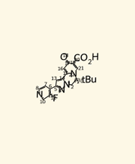 CC(C)(C)[C@@H]1Cn2nc(-c3ccncc3F)cc2-c2cc(=O)c(C(=O)O)cn21